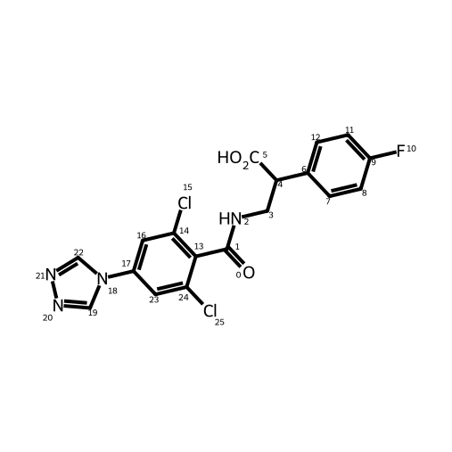 O=C(NCC(C(=O)O)c1ccc(F)cc1)c1c(Cl)cc(-n2cnnc2)cc1Cl